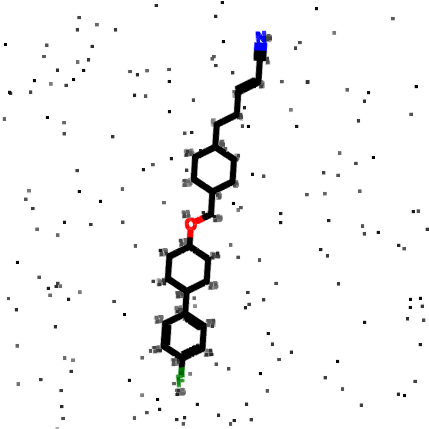 N#CC=CCCC1CCC(COC2CCC(c3ccc(F)cc3)CC2)CC1